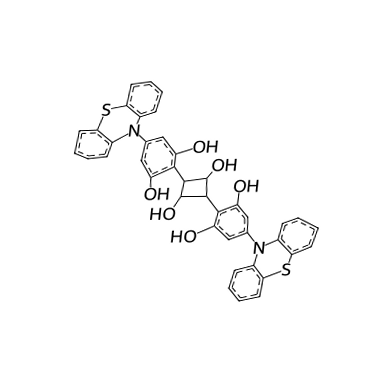 Oc1cc(N2c3ccccc3Sc3ccccc32)cc(O)c1C1C(O)C(c2c(O)cc(N3c4ccccc4Sc4ccccc43)cc2O)C1O